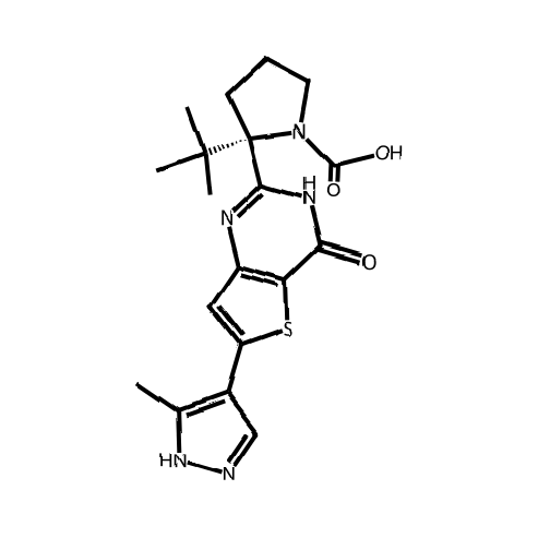 Cc1[nH]ncc1-c1cc2nc([C@@]3(C(C)(C)C)CCCN3C(=O)O)[nH]c(=O)c2s1